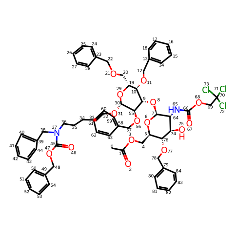 CC(=O)OC[C@H]1O[C@@H](O[C@H]2[C@@H](OCc3ccccc3)[C@@H](COCc3ccccc3)O[C@@H](OCCCCCN(Cc3ccccc3)C(=O)OCc3ccccc3)[C@@H]2OCc2ccccc2)[C@H](NC(=O)OCC(Cl)(Cl)Cl)[C@@H](O)[C@@H]1OCc1ccccc1